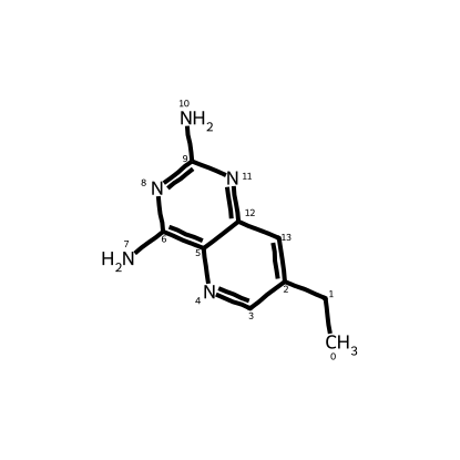 CCc1cnc2c(N)nc(N)nc2c1